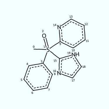 CS(=O)(c1ccccc1)(c1ccccn1)c1ncc[nH]1